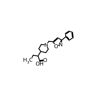 CCC(C(=O)O)C1CCN(Cc2cc(-c3ccccc3)no2)CC1